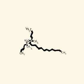 C/C=C/C[N+](C)(C)C(CCCCCCCCCCC)[N+](C)(C)C/C=C/C